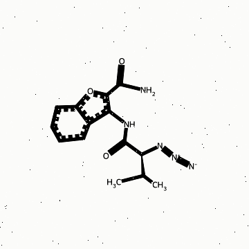 CC(C)[C@H](N=[N+]=[N-])C(=O)Nc1c(C(N)=O)oc2ccccc12